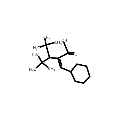 CC(C)(C)C(C(=CC1CCCCC1)C(=O)O)C(C)(C)C